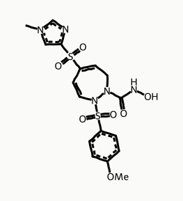 COc1ccc(S(=O)(=O)N2C=CC(S(=O)(=O)c3cn(C)cn3)=CCN2C(=O)NO)cc1